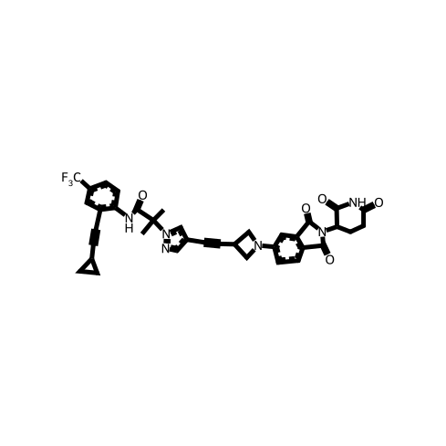 CC(C)(C(=O)Nc1ccc(C(F)(F)F)cc1C#CC1CC1)n1cc(C#CC2CN(c3ccc4c(c3)C(=O)N(C3CCC(=O)NC3=O)C4=O)C2)cn1